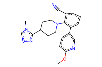 COc1ccc(-c2cccc(C#N)c2N2CCC(c3nncn3C)CC2)cn1